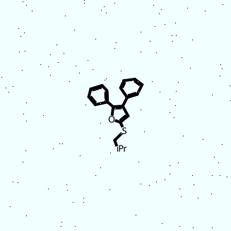 CC(C)CSc1cc(-c2ccccc2)c(-c2ccccc2)o1